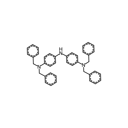 c1ccc(CN(Cc2ccccc2)c2ccc(Nc3ccc(N(Cc4ccccc4)Cc4ccccc4)cc3)cc2)cc1